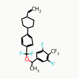 C=CC1CCC(c2ccc(C(F)(F)OC(C)c3cc(F)c(C(F)(F)F)c(F)c3)cc2)CC1